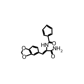 NC(=O)/C(=C/c1ccc2c(c1)OCO2)NC(=O)c1ccccc1